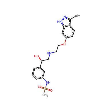 CCCc1n[nH]c2cc(OCCNC[C@H](O)c3cccc(NS(C)(=O)=O)c3)ccc12